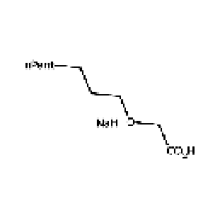 CCCCCCCCOCC(=O)O.[NaH]